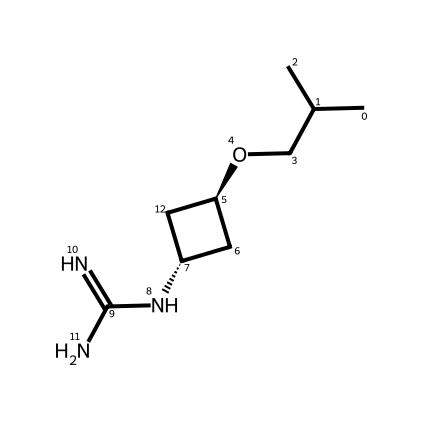 CC(C)CO[C@H]1C[C@H](NC(=N)N)C1